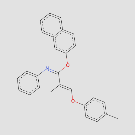 CC(=COc1ccc(C)cc1)C(=Nc1ccccc1)Oc1ccc2ccccc2c1